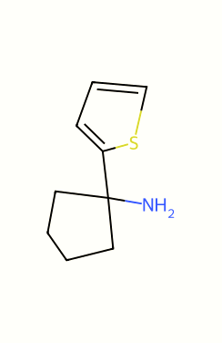 NC1(c2cccs2)CCCC1